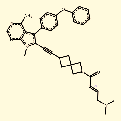 CN(C)C/C=C/C(=O)N1CC2(CC(C#Cc3c(-c4ccc(Oc5ccccc5)cc4)c4c(N)ncnc4n3C)C2)C1